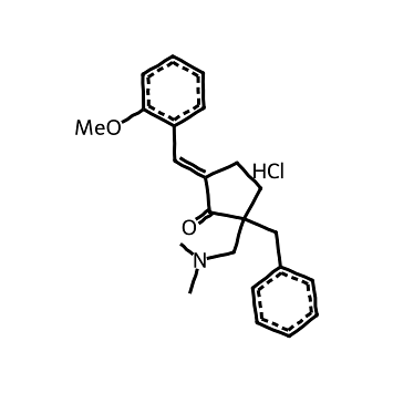 COc1ccccc1C=C1CCC(Cc2ccccc2)(CN(C)C)C1=O.Cl